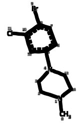 CN1CCN(c2ccc(Br)c(Cl)c2)CC1